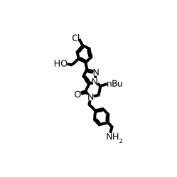 CCCCC1CN(Cc2ccc(CN)cc2)C(=O)c2cc(-c3ccc(Cl)cc3CO)nn21